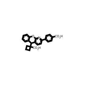 O=C(O)c1ccc(-c2ccc3c(n2)Oc2ccccc2C3C2(C(=O)O)CCC2)cc1